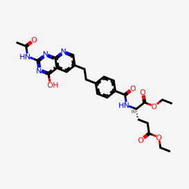 CCOC(=O)CC[C@H](NC(=O)c1ccc(CCc2cnc3nc(NC(C)=O)nc(O)c3c2)cc1)C(=O)OCC